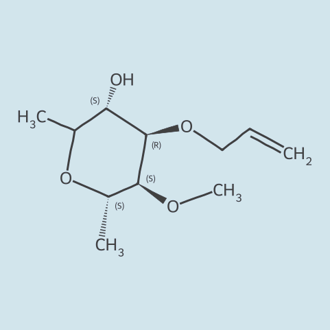 C=CCO[C@H]1[C@@H](OC)[C@H](C)OC(C)[C@@H]1O